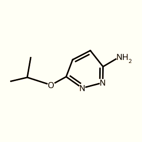 CC(C)Oc1ccc(N)nn1